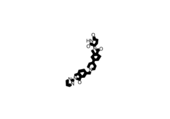 O=C1CCC(N2Cc3cc(C4CCN(Cc5ccc6c(c5)C(=O)N(c5ncccn5)C6)CC4)ccc3C2=O)C(=O)N1